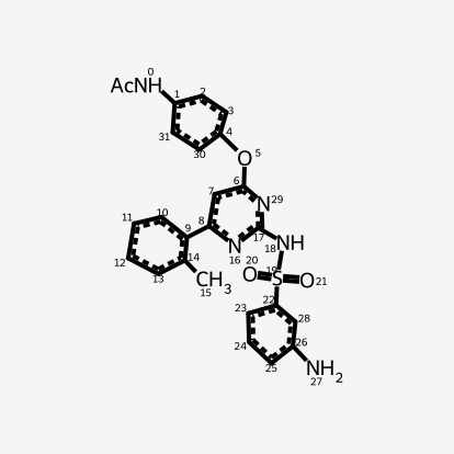 CC(=O)Nc1ccc(Oc2cc(-c3ccccc3C)nc(NS(=O)(=O)c3cccc(N)c3)n2)cc1